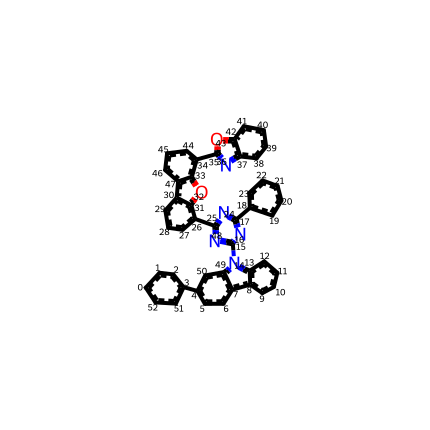 c1ccc(-c2ccc3c4ccccc4n(-c4nc(-c5ccccc5)nc(-c5cccc6c5oc5c(-c7nc8ccccc8o7)cccc56)n4)c3c2)cc1